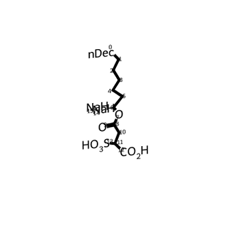 CCCCCCCCCCCCCCCCOC(=O)CC(C(=O)O)S(=O)(=O)O.[NaH].[NaH]